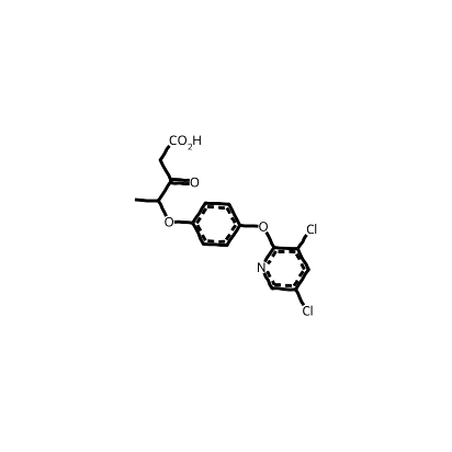 CC(Oc1ccc(Oc2ncc(Cl)cc2Cl)cc1)C(=O)CC(=O)O